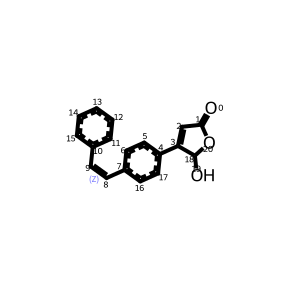 O=C1C=C(c2ccc(/C=C\c3ccccc3)cc2)C(O)O1